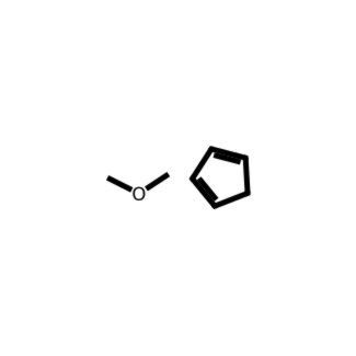 C1=CCC=C1.COC